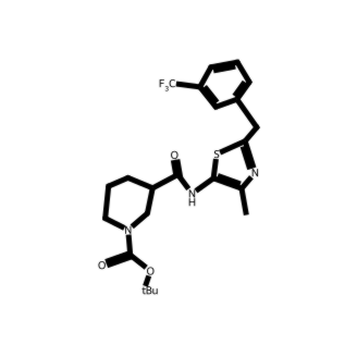 Cc1nc(Cc2cccc(C(F)(F)F)c2)sc1NC(=O)C1CCCN(C(=O)OC(C)(C)C)C1